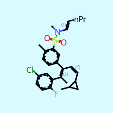 CCC/C=C/N(C)S(=O)(=O)c1cc(C(/C=C\C2CC2C)=C(/C)c2cc(Cl)ccc2F)ccc1C